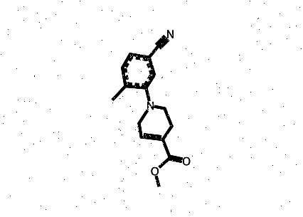 COC(=O)C1=CCN(c2cc(C#N)ccc2C)CC1